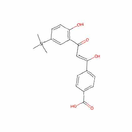 C[Si](C)(C)c1ccc(O)c(C(=O)C=C(O)c2ccc(C(=O)O)cc2)c1